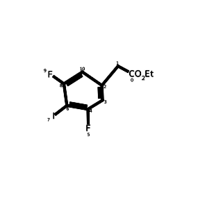 CCOC(=O)Cc1cc(F)c(I)c(F)c1